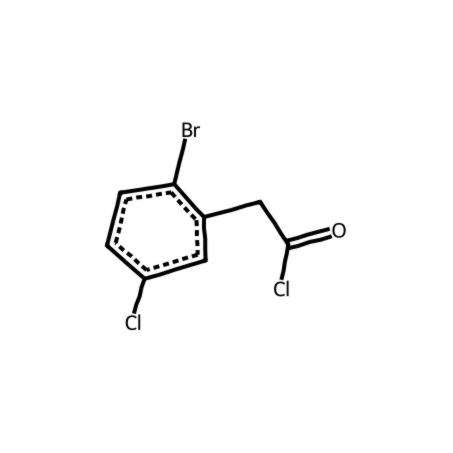 O=C(Cl)Cc1cc(Cl)ccc1Br